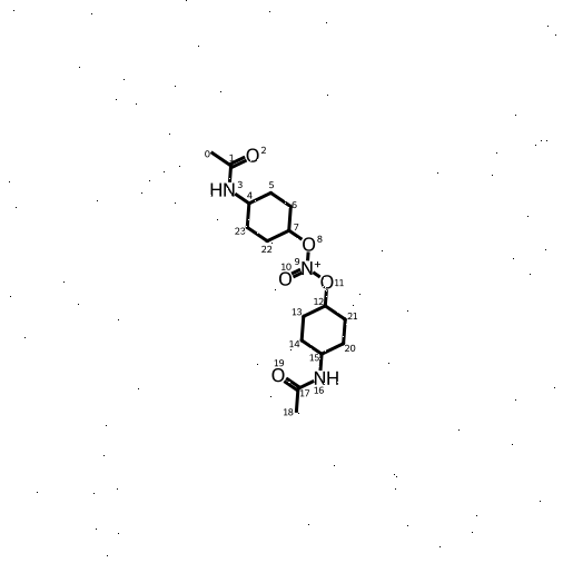 CC(=O)NC1CCC(O[N+](=O)OC2CCC(NC(C)=O)CC2)CC1